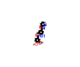 COc1ccc(C(=O)Nc2ccc(-c3nc4ncccc4o3)cc2C)cc1OC